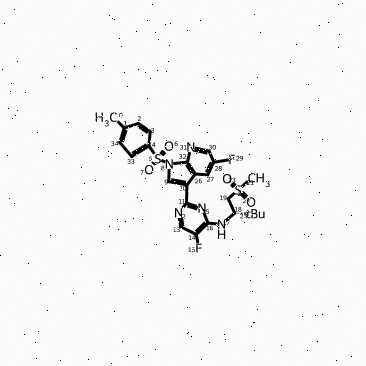 Cc1ccc(S(=O)(=O)n2cc(-c3ncc(F)c(N[C@H](CS(C)(=O)=O)C(C)(C)C)n3)c3cc(F)cnc32)cc1